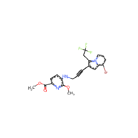 COC(=O)c1ccc(NCC#Cc2cc3c(Br)cccn3c2CC(F)(F)F)c(OC)n1